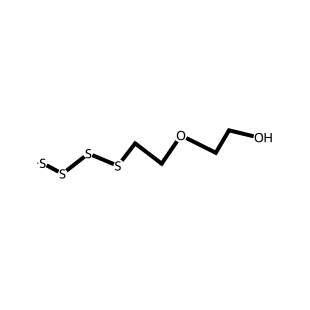 OCCOCCSSS[S]